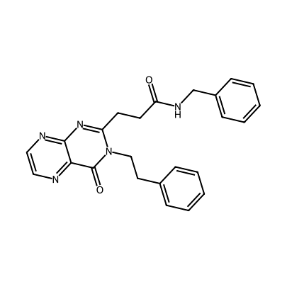 O=C(CCc1nc2nccnc2c(=O)n1CCc1ccccc1)NCc1ccccc1